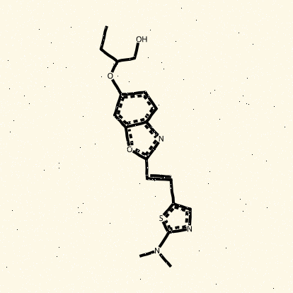 CCC(CO)Oc1ccc2nc(/C=C/c3cnc(N(C)C)s3)oc2c1